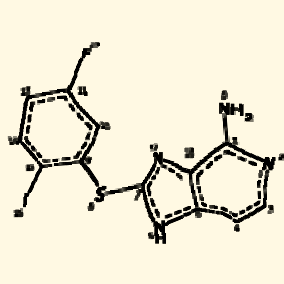 Nc1nccc2[nH]c(Sc3cc(F)ccc3I)nc12